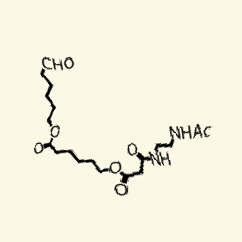 CC(=O)NCCNC(=O)CC(=O)OCCCCCC(=O)OCCCCCC=O